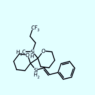 C[SiH](CCC(F)(F)F)C1(C2([SiH2]C=Cc3ccccc3)CCCCO2)CCCCO1